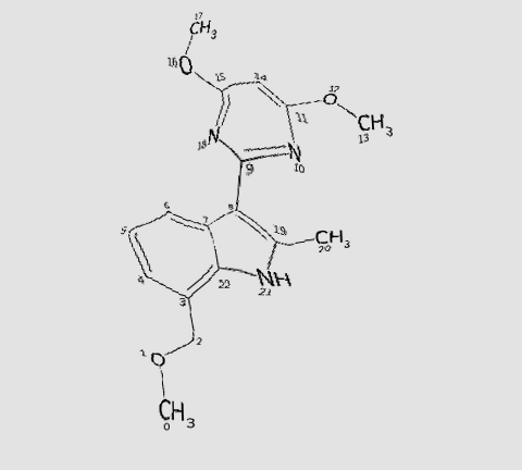 COCc1cccc2c(-c3nc(OC)cc(OC)n3)c(C)[nH]c12